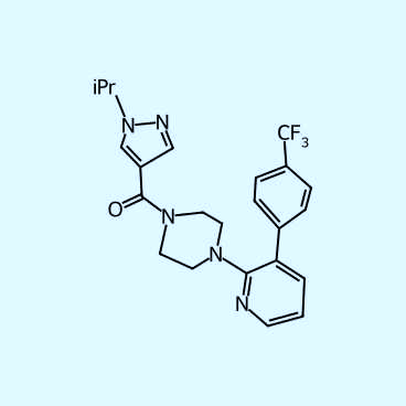 CC(C)n1cc(C(=O)N2CCN(c3ncccc3-c3ccc(C(F)(F)F)cc3)CC2)cn1